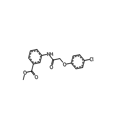 COC(=O)c1cccc(NC(=O)COc2ccc(Cl)cc2)c1